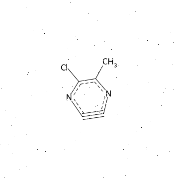 Cc1nc#cnc1Cl